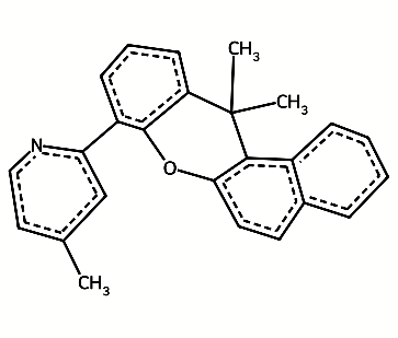 Cc1ccnc(-c2cccc3c2Oc2ccc4ccccc4c2C3(C)C)c1